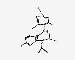 Cc1cc(C)c(Nc2ccc(F)cc2P(C(C)C)C(C)C)c(C)c1